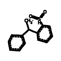 [CH2]C(c1ccccc1)c1ccccc1[SH](=O)=O